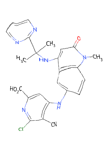 Cn1c(=O)cc(NC(C)(C)c2ncccn2)c2cc(Nc3cc(C(=O)O)nc(Cl)c3C#N)ccc21